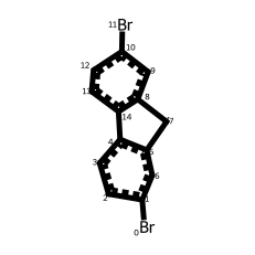 Brc1ccc2c(c1)[C]c1cc(Br)ccc1-2